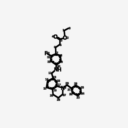 CCOC(=O)CCc1ccc(NCc2ccc3c(c2)N(Cc2ccccc2)CCC3)cc1F